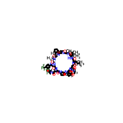 CC[C@H](C)[C@@H]1NC(=O)[C@H](CC(C)C)N(C)C(=O)C[C@@H](C(=O)N2CCOCC2)N(C)C(=O)[C@H](C2CCCC2)N(C)C(=O)C2(CCCC2)NC(=O)[C@H](CCC(=O)N2CC(F)(F)C2)N(C)C(=O)[C@H](CCc2ccc(C(F)(F)F)c(Cl)c2)NC(=O)CN(C)C(=O)[C@H](CC2CCCCC2)N(C)C(=O)[C@@H]2CCN2C(=O)[C@H](C)N(C)C1=O